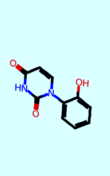 O=c1ccn(-c2ccccc2O)c(=O)[nH]1